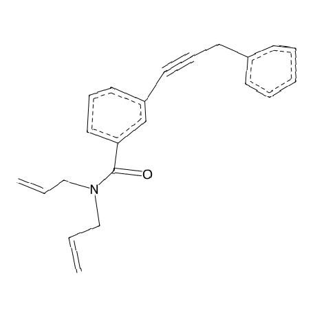 C=CCN(CC=C)C(=O)c1cccc(C#CCc2ccccc2)c1